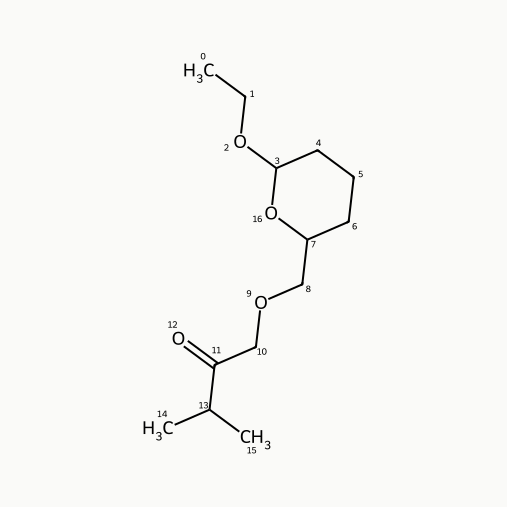 CCOC1CCCC(COCC(=O)C(C)C)O1